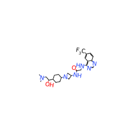 CN(C)CC(O)C1CCC(N2CC(NC(=O)CNc3ncnc4ccc(C(F)(F)F)cc34)C2)CC1